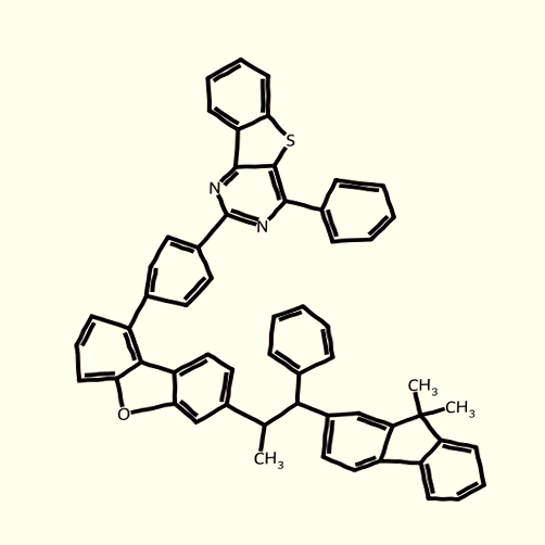 CC(c1ccc2c(c1)oc1cccc(-c3ccc(-c4nc(-c5ccccc5)c5sc6ccccc6c5n4)cc3)c12)C(c1ccccc1)c1ccc2c(c1)C(C)(C)c1ccccc1-2